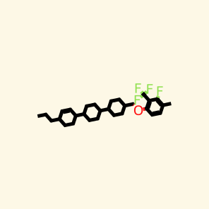 CCCC1C=CC(C2CCC(C3CCC(COc4ccc(C)c(F)c4C(F)(F)F)CC3)CC2)CC1